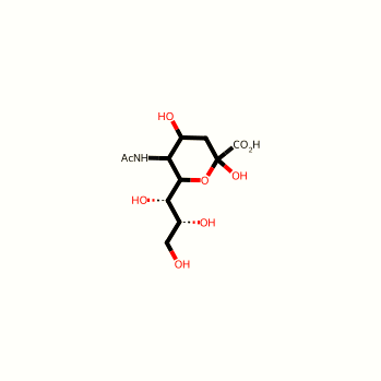 CC(=O)NC1C(O)CC(O)(C(=O)O)OC1[C@@H](O)[C@H](O)CO